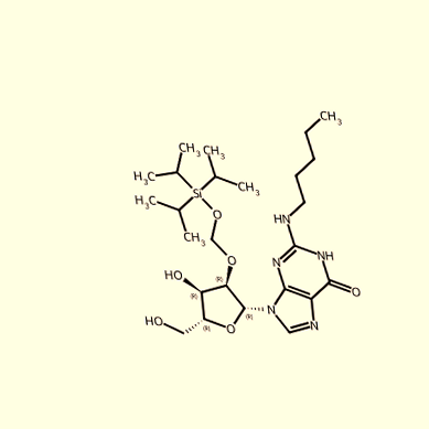 CCCCCNc1nc2c(ncn2[C@@H]2O[C@H](CO)[C@@H](O)[C@H]2OCO[Si](C(C)C)(C(C)C)C(C)C)c(=O)[nH]1